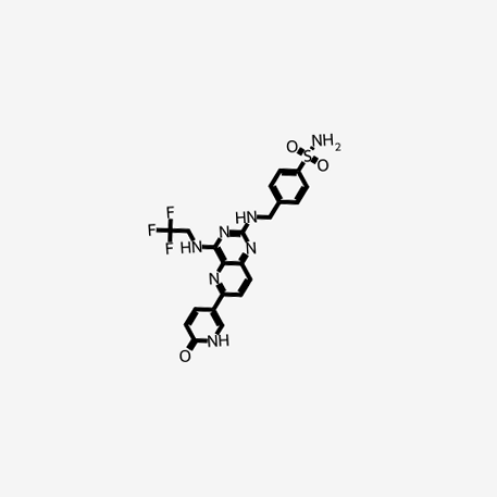 NS(=O)(=O)c1ccc(CNc2nc(NCC(F)(F)F)c3nc(-c4ccc(=O)[nH]c4)ccc3n2)cc1